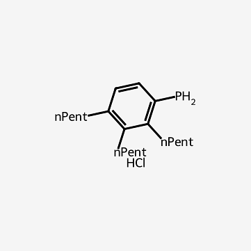 CCCCCc1ccc(P)c(CCCCC)c1CCCCC.Cl